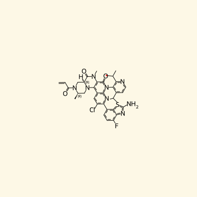 C=CC(=O)N1C[C@@H]2C(=O)N(C)c3c(c4cc(Cl)c(-c5ccc(F)c6nc(N)sc56)nc4n(-c4c(C(C)C)ccnc4C(C)C)c3=O)N2C[C@H]1C